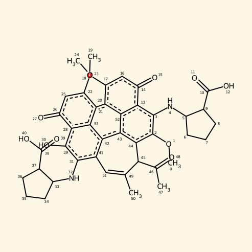 COc1c(NC2CCCC2C(=O)O)c2c(=O)cc(OC)c3c4c(OC)cc(=O)c5c(O)c(NC6CCCC6C(=O)O)c6c(c(c1C(C(C)=O)C(C)=C6)c23)c54